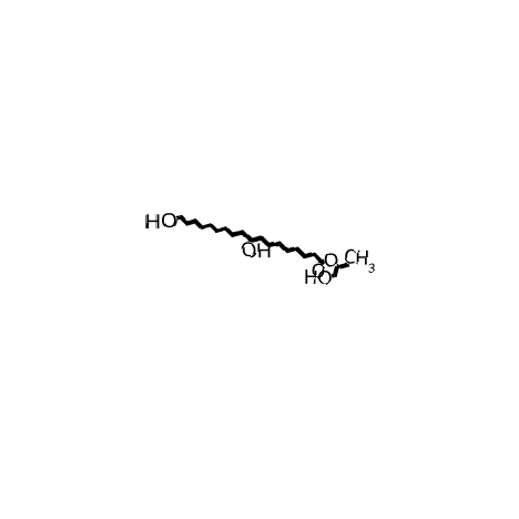 CCC(CO)OC(=O)CCCCCCCC(O)CCCCCCCCCO